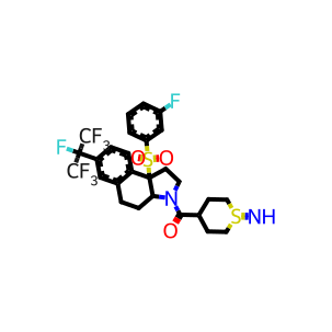 N=S1CCC(C(=O)N2CCC3(S(=O)(=O)c4cccc(F)c4)c4ccc(C(F)(C(F)(F)F)C(F)(F)F)cc4CCC23)CC1